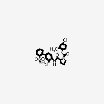 Cc1cc(Cl)ccc1NC(=O)N1CCCC1C(=O)Nc1ccc(-c2ccccc2S(N)(=O)=O)cc1F